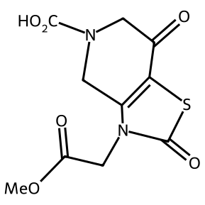 COC(=O)Cn1c2c(sc1=O)C(=O)CN(C(=O)O)C2